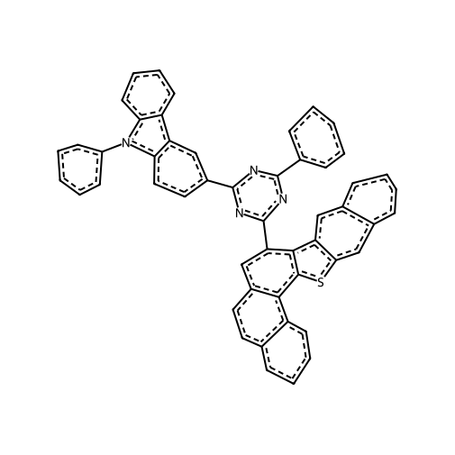 c1ccc(-c2nc(-c3ccc4c(c3)c3ccccc3n4-c3ccccc3)nc(-c3cc4ccc5ccccc5c4c4sc5cc6ccccc6cc5c34)n2)cc1